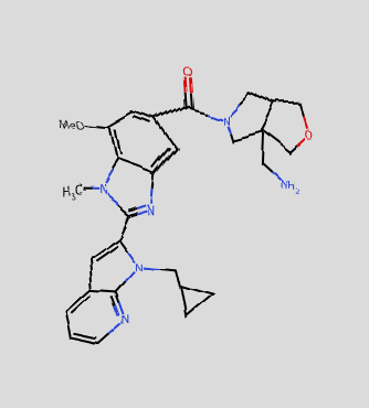 COc1cc(C(=O)N2CC3COCC3(CN)C2)cc2nc(-c3cc4cccnc4n3CC3CC3)n(C)c12